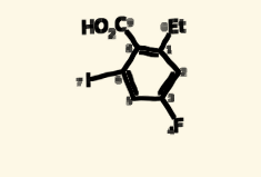 CCc1cc(F)cc(I)c1C(=O)O